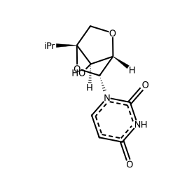 CC(C)[C@]12CO[C@H]([C@H](n3ccc(=O)[nH]c3=O)O1)[C@H]2O